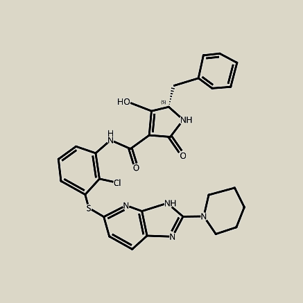 O=C(Nc1cccc(Sc2ccc3nc(N4CCCCC4)[nH]c3n2)c1Cl)C1=C(O)[C@H](Cc2ccccc2)NC1=O